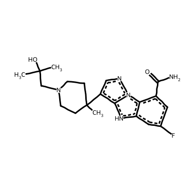 CC(C)(O)CN1CCC(C)(c2cnn3c2[nH]c2cc(F)cc(C(N)=O)c23)CC1